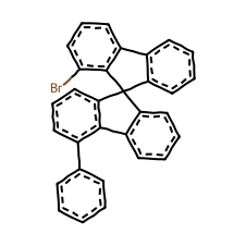 Brc1cccc2c1C1(c3ccccc3-2)c2ccccc2-c2c(-c3ccccc3)cccc21